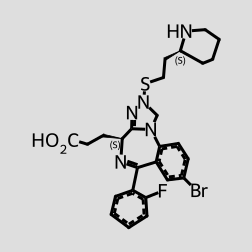 O=C(O)CC[C@@H]1N=C(c2ccccc2F)c2cc(Br)ccc2N2CN(SCC[C@@H]3CCCCN3)N=C12